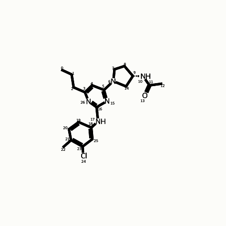 CCCc1cc(N2CC[C@H](NC(C)=O)C2)nc(Nc2ccc(C)c(Cl)c2)n1